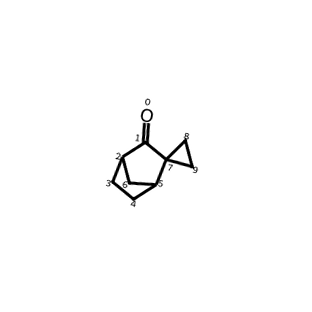 O=C1C2CCC(C2)C12CC2